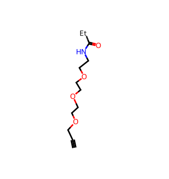 C#CCOCCOCCOCCNC(=O)CC